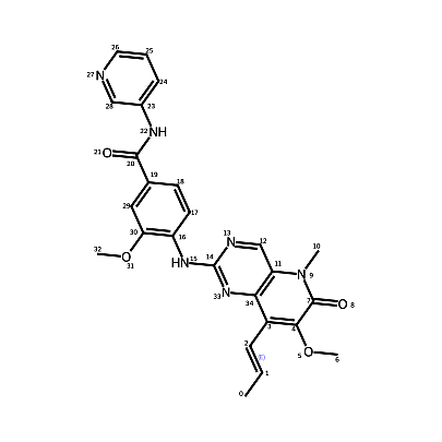 C/C=C/c1c(OC)c(=O)n(C)c2cnc(Nc3ccc(C(=O)Nc4cccnc4)cc3OC)nc12